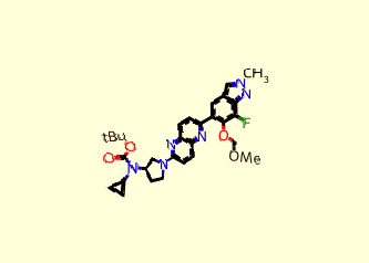 COCOc1c(-c2ccc3nc(N4CCC(N(C(=O)OC(C)(C)C)C5CC5)C4)ccc3n2)cc2cn(C)nc2c1F